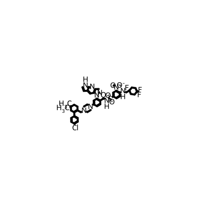 CC1(C)CCC(CN2CCN(c3ccc(C(=O)NS(=O)(=O)c4ccc(NCC5(F)CCC(F)(F)CC5)c([N+](=O)[O-])c4)c(-n4ncc5nc6[nH]ccc6cc54)c3)CC2)=C(c2ccc(Cl)cc2)C1